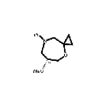 CO[C@H]1COC2(CC2)CN(C(C)C)C1